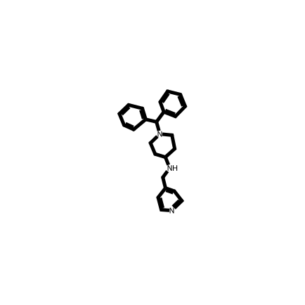 c1ccc(C(c2ccccc2)N2CCC(NCc3ccncc3)CC2)cc1